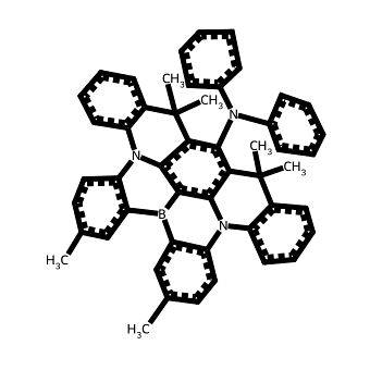 Cc1ccc2c(c1)B1c3cc(C)ccc3N3c4ccccc4C(C)(C)c4c3c1c1c(c4N(c3ccccc3)c3ccccc3)C(C)(C)c3ccccc3N21